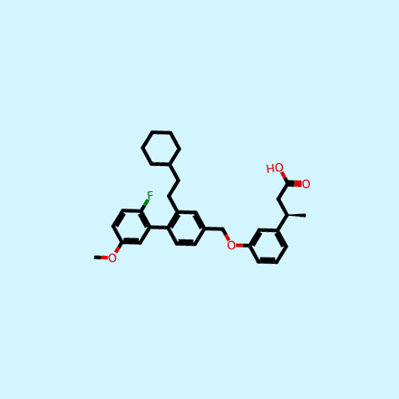 COc1ccc(F)c(-c2ccc(COc3cccc([C@H](C)CC(=O)O)c3)cc2CCC2CCCCC2)c1